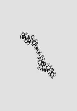 Nc1ncnc2c1c(-c1ccc(Oc3ccccc3)cc1)nn2C1CCN(C2CN(C3CN(c4ccc5c(c4)C(=O)N([C@H]4CCC(=O)NC4O)C5=O)C3)C2)CC1